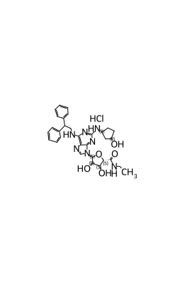 CCNC(=O)[C@H]1O[C@H](n2cnc3c(NCC(c4ccccc4)c4ccccc4)nc(N[C@@H]4CC[C@@H](O)C4)nc32)[C@H](O)[C@@H]1O.Cl